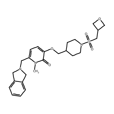 Cn1c(CN2Cc3ccccc3C2)ccc(OCC2CCN(S(=O)(=O)CC3COC3)CC2)c1=O